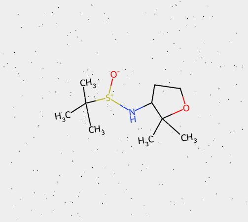 CC1(C)OCCC1N[S+]([O-])C(C)(C)C